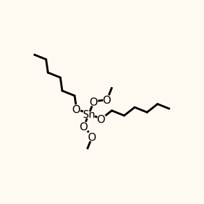 CCCCCC[O][Sn]([O]CCCCCC)([O]OC)[O]OC